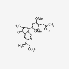 COc1cc(-c2cn(C)c(=O)c3cc(N(C)CC(=O)O)ncc23)cc(OC)c1CN(C)C